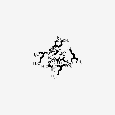 CCCCC(CC)COP(=S)(OCC(CC)CCCC)SCC(C)OP(=S)(OC(C)CSP(=S)(OCC(CC)CCCC)OCC(CC)CCCC)SCC(C)OP(=S)(S)OC(C)C